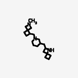 CN1CC2(CCC2CN2CCCC(CC3CC4(CCC4)N3)C2)C1